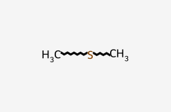 CCCCCCCCCCSCCCCCCC